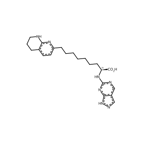 O=C(O)[C@H](CCCCCCCc1ccc2c(n1)NCCC2)Nc1ncc2cn[nH]c2n1